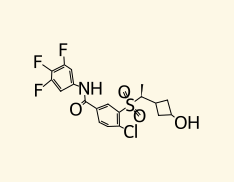 C[C@@H](C1CC(O)C1)S(=O)(=O)c1cc(C(=O)Nc2cc(F)c(F)c(F)c2)ccc1Cl